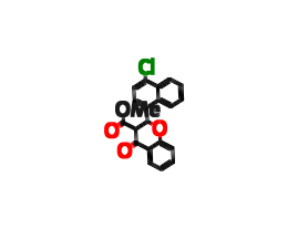 COC(=O)C1C(=O)c2ccccc2OC1c1ccc(Cl)c2ccccc12